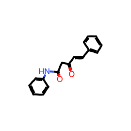 O=C(C=Cc1ccccc1)CC(=O)Nc1ccccc1